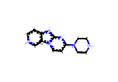 c1cc2nc3nc(N4CCNCC4)ccn3c2cn1